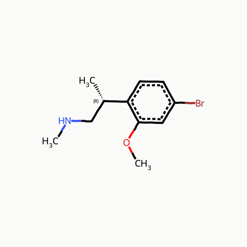 CNC[C@H](C)c1ccc(Br)cc1OC